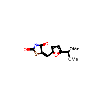 COC(OC)c1ccc(C=C2SC(=O)NC2=O)o1